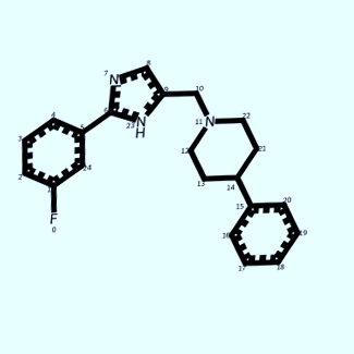 Fc1cccc(-c2ncc(CN3CCC(c4ccccc4)CC3)[nH]2)c1